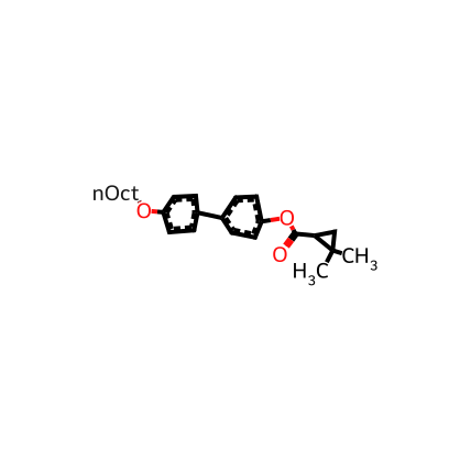 CCCCCCCCOc1ccc(-c2ccc(OC(=O)C3CC3(C)C)cc2)cc1